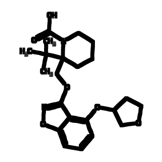 CC(C)(C)C1(COc2noc3cccc(OC4CCOC4)c23)CCCCN1C(=O)O